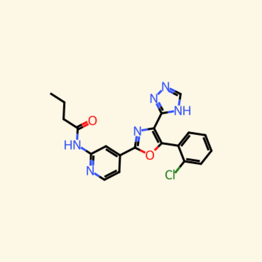 CCCC(=O)Nc1cc(-c2nc(-c3nnc[nH]3)c(-c3ccccc3Cl)o2)ccn1